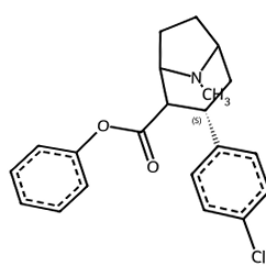 CN1C2CCC1C(C(=O)Oc1ccccc1)[C@@H](c1ccc(Cl)cc1)C2